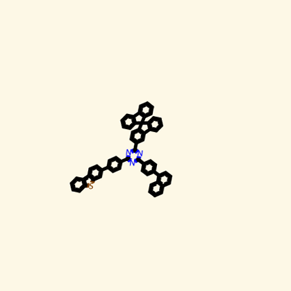 c1ccc2c(c1)-c1ccccc1C21c2ccccc2-c2cc(-c3nc(-c4ccc(-c5ccc6c(c5)sc5ccccc56)cc4)nc(-c4ccc(-c5cccc6ccccc56)cc4)n3)ccc21